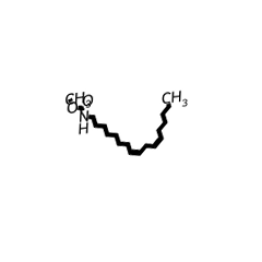 CCCCC/C=C\C/C=C\CCCCCCCNC(=O)OC